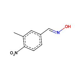 Cc1cc(C=NO)ccc1[N+](=O)[O-]